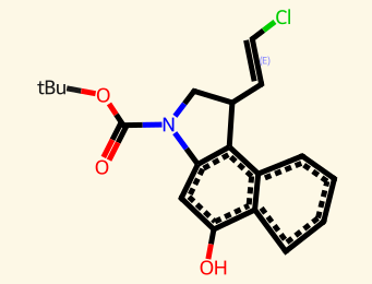 CC(C)(C)OC(=O)N1CC(/C=C/Cl)c2c1cc(O)c1ccccc21